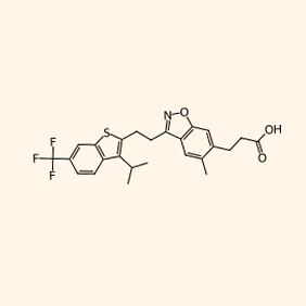 Cc1cc2c(CCc3sc4cc(C(F)(F)F)ccc4c3C(C)C)noc2cc1CCC(=O)O